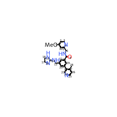 COc1ccnc(CNC(=O)c2cc(CNC3=NCCN3)cc(-c3cnccc3C)c2)c1